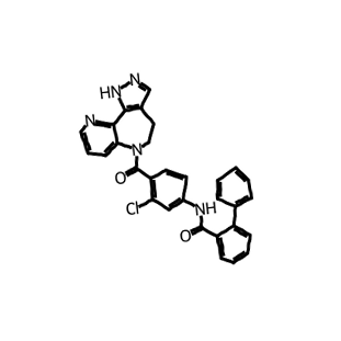 O=C(Nc1ccc(C(=O)N2CCc3cn[nH]c3-c3ncccc32)c(Cl)c1)c1ccccc1-c1ccccc1